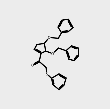 O=C(CSc1ccccc1)C1=CCC(OCc2ccccc2)C1OCc1ccccc1